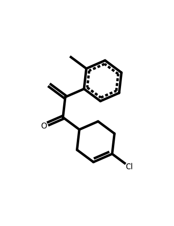 C=C(C(=O)C1CC=C(Cl)CC1)c1ccccc1C